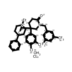 CC[N+]12CCC(c3ccccc3)(CC1)CC2C1(c2ccc(Cl)c(Cl)c2)CCC(=O)N(Cc2cc(C(F)(F)F)cc(C(F)(F)F)c2)C1.O.[Cl-]